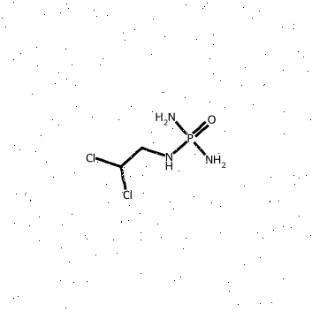 NP(N)(=O)NCC(Cl)Cl